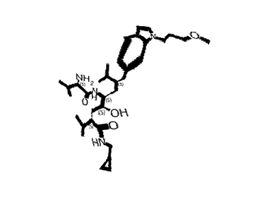 COCCCn1ccc2ccc(C[C@@H](C[C@H](NC(=O)[C@@H](N)C(C)C)[C@@H](O)C[C@H](C(=O)NCC3CC3)C(C)C)C(C)C)cc21